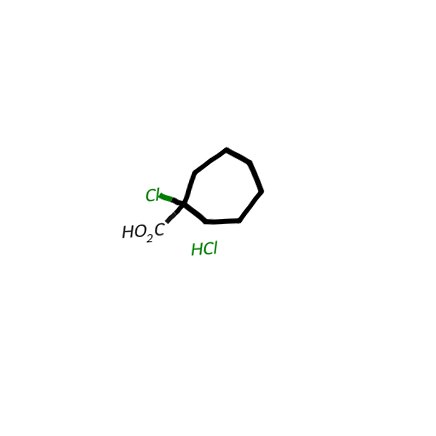 Cl.O=C(O)C1(Cl)CCCCCC1